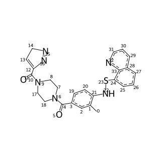 Cc1cc(C(=O)N2CCN(C(=O)C3=CCN=N3)CC2)ccc1NSc1cccc2cccnc12